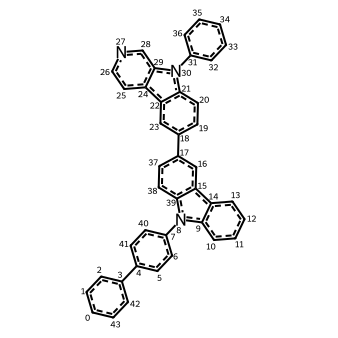 c1ccc(-c2ccc(-n3c4ccccc4c4cc(-c5ccc6c(c5)c5ccncc5n6-c5ccccc5)ccc43)cc2)cc1